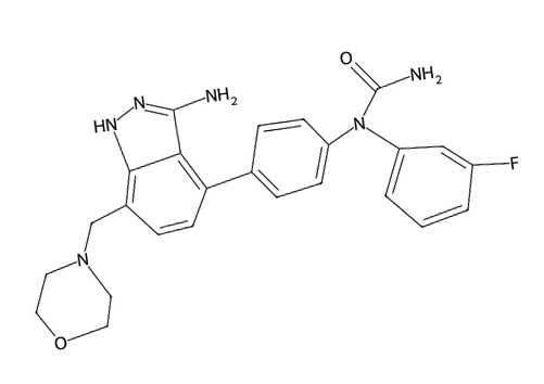 NC(=O)N(c1ccc(-c2ccc(CN3CCOCC3)c3[nH]nc(N)c23)cc1)c1cccc(F)c1